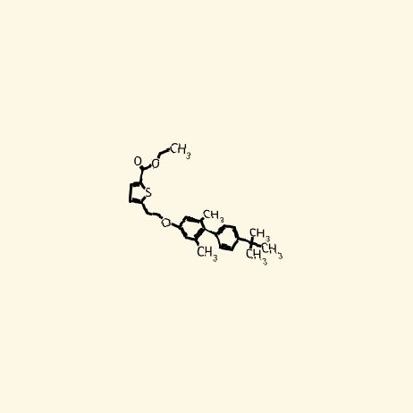 CCOC(=O)c1ccc(CCOc2cc(C)c(-c3ccc(C(C)(C)C)cc3)c(C)c2)s1